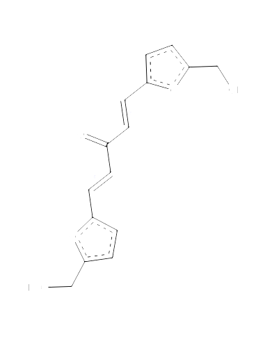 CCc1ccc(/C=C/C(=O)/C=C/c2ccc(CO)o2)o1